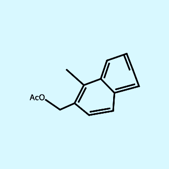 CC(=O)OCc1ccc2ccccc2c1C